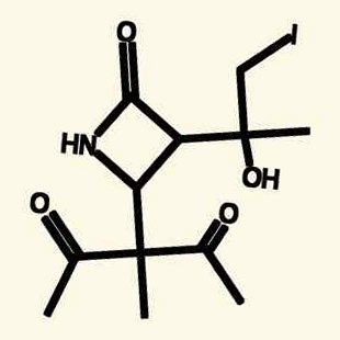 CC(=O)C(C)(C(C)=O)C1NC(=O)C1C(C)(O)CI